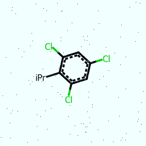 [CH2]C(C)c1c(Cl)cc(Cl)cc1Cl